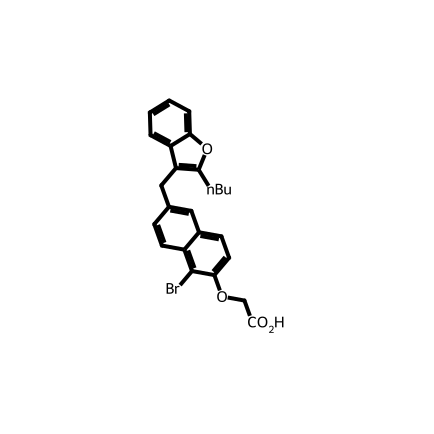 CCCCc1oc2ccccc2c1Cc1ccc2c(Br)c(OCC(=O)O)ccc2c1